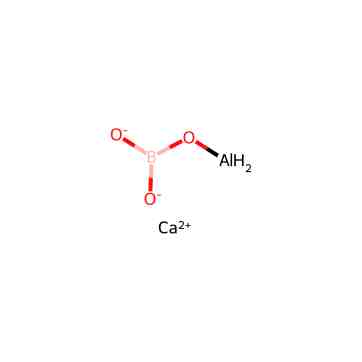 [Ca+2].[O-]B([O-])[O][AlH2]